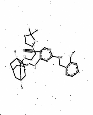 COc1ccccc1CNc1ncc(C#N)c(NC[C@@]23CC4C[C@H](C2)[C@@H](NCC[C@H]2COC(C)(C)O2)[C@@H](C4)C3)n1